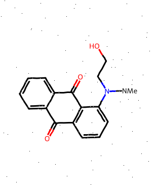 CNN(CCO)c1cccc2c1C(=O)c1ccccc1C2=O